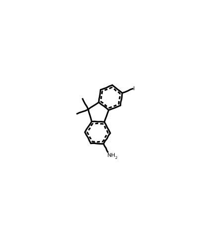 CC1(C)c2ccc(N)cc2-c2cc(I)ccc21